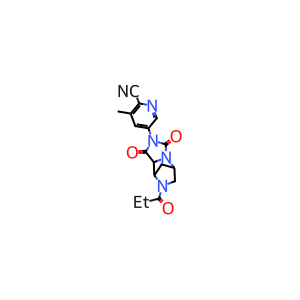 CCC(=O)N1CC2CC1C1C(=O)N(c3cnc(C#N)c(C)c3)C(=O)N21